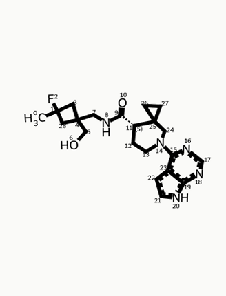 CC1(F)CC(CO)(CNC(=O)[C@H]2CCN(c3ncnc4[nH]ccc34)CC23CC3)C1